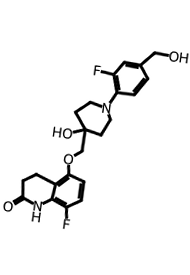 O=C1CCc2c(OCC3(O)CCN(c4ccc(CO)cc4F)CC3)ccc(F)c2N1